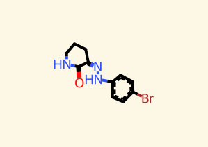 O=C1NCCC/C1=N/Nc1ccc(Br)cc1